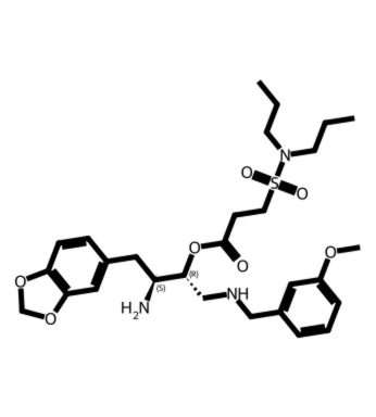 CCCN(CCC)S(=O)(=O)CCC(=O)O[C@H](CNCc1cccc(OC)c1)[C@@H](N)Cc1ccc2c(c1)OCO2